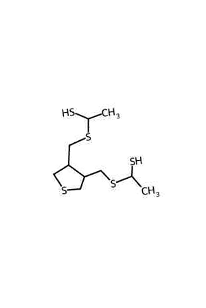 CC(S)SCC1CSCC1CSC(C)S